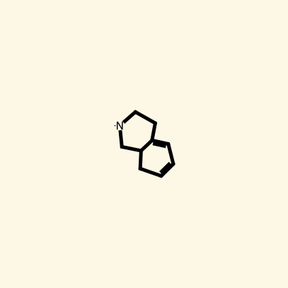 C1=CCC2C[N]CCC2=C1